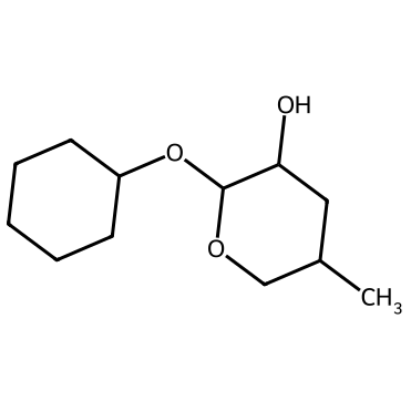 CC1COC(OC2CCCCC2)C(O)C1